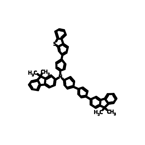 CC1(C)c2ccccc2-c2cc(-c3ccc(-c4ccc(N(c5ccc(-c6ccc7c(c6)sc6ccccc67)cc5)c5ccc6c(c5)C(C)(C)c5ccccc5-6)cc4)cc3)ccc21